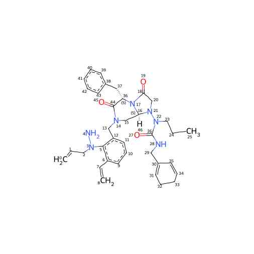 C=CCN(N)c1c(C=C)cccc1CN1C[C@H]2N(C(=O)CN2N(CCC)C(=O)NCC2=CCCC=C2)[C@@H](Cc2ccccc2)C1=O